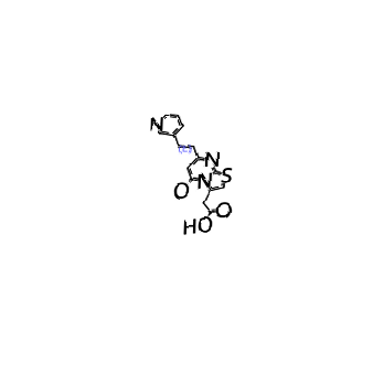 O=C(O)Cc1csc2nc(/C=C/c3cccnc3)cc(=O)n12